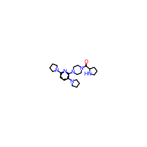 O=C(C1CCCN1)N1CCN(c2nc(N3CCCC3)ccc2N2CCCC2)CC1